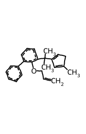 C=CCOc1c(-c2ccccc2)cccc1C(C)(C)C1=CCC(C)=C1